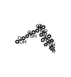 CC(C)OC(C)C.CCOCC.COC.COC(OC)(C(=O)c1ccccc1)c1ccccc1.COC(OC)C(=O)c1ccccc1.O=C(c1ccccc1)C(O)c1ccccc1.O=C(c1ccccc1)C(O)c1ccccc1.O=C(c1ccccc1)C(O)c1ccccc1.O=C(c1ccccc1)C(O)c1ccccc1